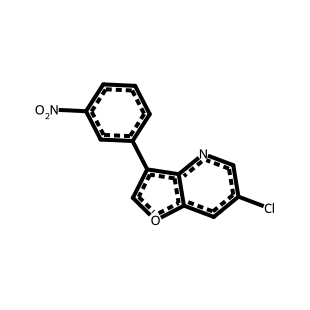 O=[N+]([O-])c1cccc(-c2coc3cc(Cl)cnc23)c1